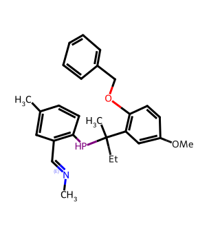 CCC(C)(Pc1ccc(C)cc1/C=N/C)c1cc(OC)ccc1OCc1ccccc1